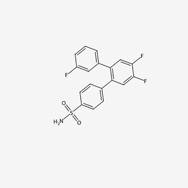 NS(=O)(=O)c1ccc(-c2cc(F)c(F)cc2-c2cccc(F)c2)cc1